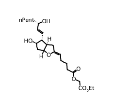 CCCCC[C@H](O)/C=C/[C@@H]1[C@H]2C/C(=C/CCCC(=O)OCC(=O)OCC)O[C@@H]2C[C@H]1O